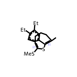 CCc1ccc(/C2=C(/C)CCC/C=C(/SC)S2)cc1CC